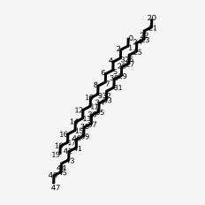 CCCCCCCCCCCCCCCCCCCC.CCCCCCCCCCCCCCCCCCCCCCCCCCCC